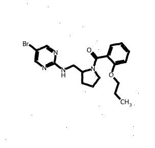 CCCOc1ccccc1C(=O)N1CCCC1CNc1ncc(Br)cn1